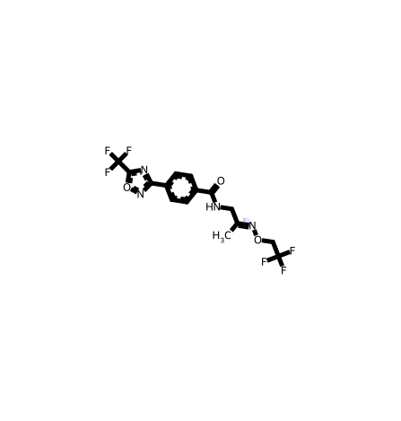 C/C(CNC(=O)c1ccc(-c2noc(C(F)(F)F)n2)cc1)=N\OCC(F)(F)F